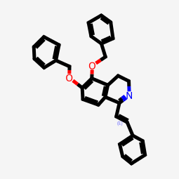 C(=C\c1ccccc1)/C1=NCCc2c1ccc(OCc1ccccc1)c2OCc1ccccc1